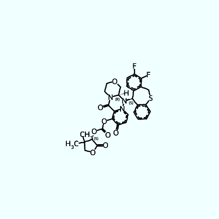 CC1(C)COC(=O)[C@H]1OC(=O)Oc1c2n(ccc1=O)N([C@@H]1c3ccccc3SCc3c1ccc(F)c3F)[C@@H]1COCCN1C2=O